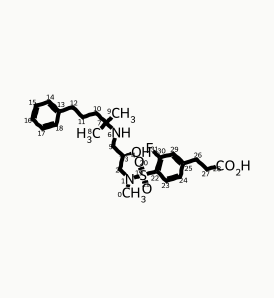 CN(C[C@H](O)CNC(C)(C)CCCc1ccccc1)S(=O)(=O)c1ccc(CCC(=O)O)cc1F